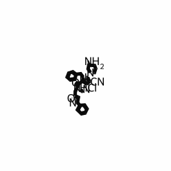 Cl.N#Cc1c(N2CCC[C@H](N)C2)n(Cc2ccccc2)c2c(=O)n(Cc3cc(-c4ccccc4)no3)cnc12